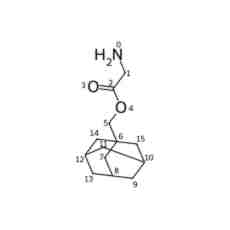 NCC(=O)OCC12CC3CC(CC(C3)C1)C2